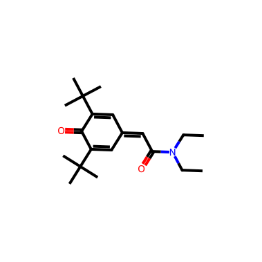 CCN(CC)C(=O)C=C1C=C(C(C)(C)C)C(=O)C(C(C)(C)C)=C1